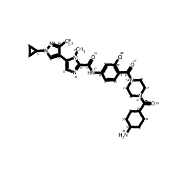 Cn1c(-c2cn(C3CC3)nc2C(F)(F)F)cnc1C(=O)Nc1ccc(C(=O)N2CCN(C(=O)C3CCC(N)CC3)CC2)c(Cl)c1